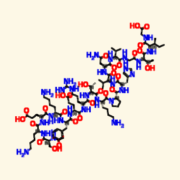 CC[C@H](C)[C@H](NC(=O)[C@@H](NC(=O)CNC(=O)[C@@H](NC(=O)[C@H](CC(N)=O)NC(=O)[C@@H](NC(=O)[C@H](Cc1c[nH]cn1)NC(=O)[C@@H]1CCCN1C(=O)[C@H](CCCCN)NC(=O)[C@@H](NC(=O)[C@H](CCCNC(=N)N)NC(=O)[C@H](CCC(=O)O)NC(=O)[C@H](Cc1ccccc1)NC(=O)[C@H](CCCCN)NC(=O)[C@H](CCC(=O)O)NC(=O)[C@H](CCCCN)NC(=O)[C@H](CO)NC(C)=O)[C@@H](C)O)C(C)C)C(C)C)[C@@H](C)O)C(=O)NCC(=O)O